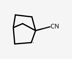 N#CC12[CH]CC(CC1)C2